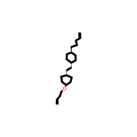 C=CCCC[C@H]1CC[C@H](CC[C@H]2CC[C@H](OCCC=C)CC2)CC1